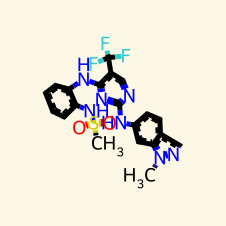 Cn1ncc2ccc(Nc3ncc(C(F)(F)F)c(Nc4ccccc4NS(C)(=O)=O)n3)cc21